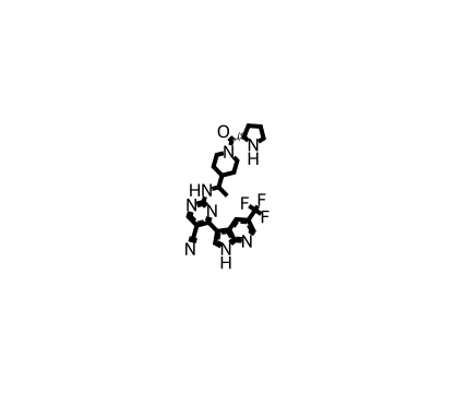 CC(Nc1ncc(C#N)c(-c2c[nH]c3ncc(C(F)(F)F)cc23)n1)C1CCN(C(=O)[C@@H]2CCCN2)CC1